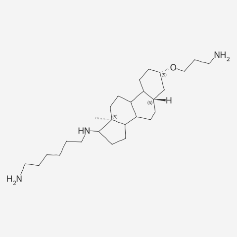 C[C@]12CCC3C(CC[C@H]4C[C@@H](OCCCN)CCC34)C1CCC2NCCCCCCN